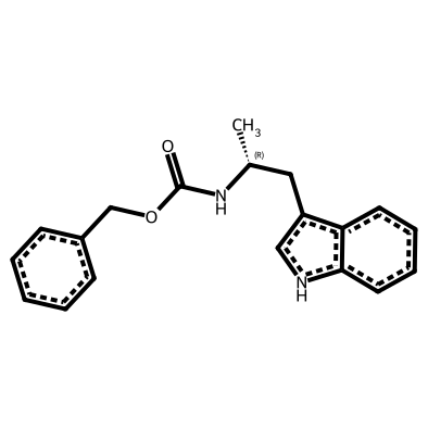 C[C@H](Cc1c[nH]c2ccccc12)NC(=O)OCc1ccccc1